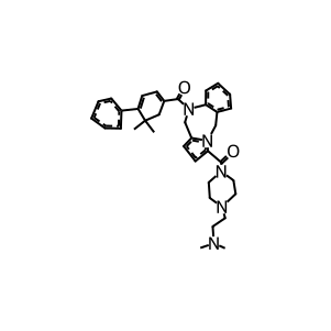 CN(C)CCN1CCN(C(=O)c2ccc3n2Cc2ccccc2N(C(=O)C2=CC=C(c4ccccc4)C(C)(C)C2)C3)CC1